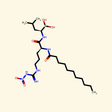 CCCCCCCCCCC(=O)N[C@@H](CCCNC(=N)N[N+](=O)[O-])C(=O)N[C@@H](CC(C)C)B(O)O